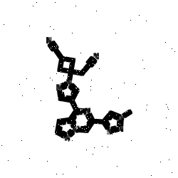 Cn1cc(-c2cn3nccc3c(-c3cnn(C4(CC#N)CC(C#N)C4)c3)n2)nn1